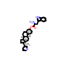 C[C@]12CC[C@H](OC(=O)C(N)Cc3c[nH]c4ccccc34)CC1=CC[C@@H]1[C@@H]2CC[C@]2(C)C(c3cccnc3)=CC[C@@H]12